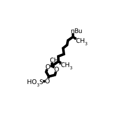 CCCCC(C)CCCCCC(C)C1(C)OCC(OS(=O)(=O)O)CO1